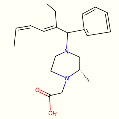 C/C=C\C=C(/CC)C(c1ccccc1)N1CCN(CC(=O)O)[C@@H](C)C1